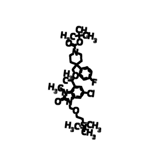 CC(OCC1(c2ccc(F)cc2)CCN(C(=O)OC(C)(C)C)CC1)c1cc(Cl)cc2c1n(C)c(=O)n2COCC[Si](C)(C)C